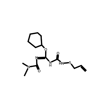 C=CCSNC(=O)NC(=NC(=O)N(C)C)OC1CCCCC1